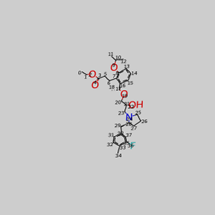 CCOC(=O)CCc1c(OC(C)C)cccc1[C@@H](C)OC[C@H](O)CN1CCC[C@H]1Cc1ccc(C)c(F)c1